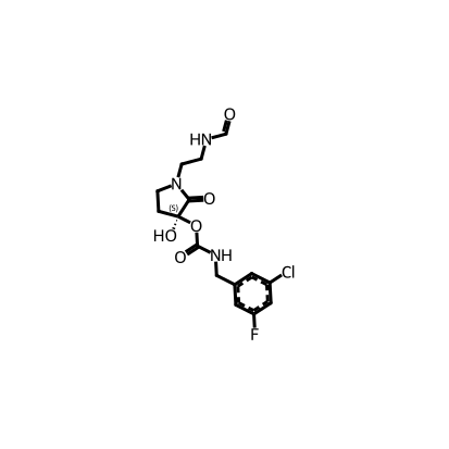 O=CNCCN1CC[C@](O)(OC(=O)NCc2cc(F)cc(Cl)c2)C1=O